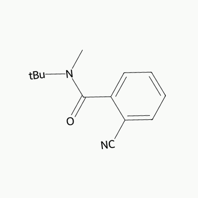 CN(C(=O)c1ccccc1C#N)C(C)(C)C